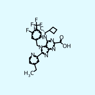 CCc1ccnc(-c2nc3nc(C(=O)O)nc(N[C@H](C)C4CCC4)c3n2Cc2ccc(C(F)(F)F)c(F)c2)c1